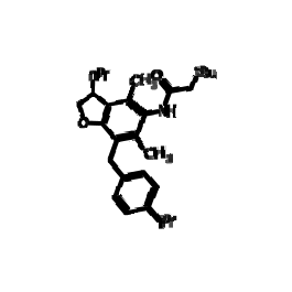 CCCC1COc2c(Cc3ccc(C(C)C)cc3)c(C)c(NC(=O)CC(C)(C)C)c(C)c21